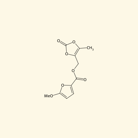 COc1ccc(C(=O)OCc2oc(=O)oc2C)o1